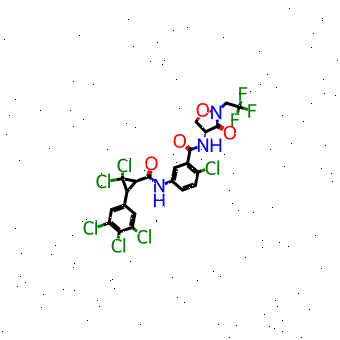 O=C(N[C@@H]1CON(CC(F)(F)F)C1=O)c1cc(NC(=O)C2C(c3cc(Cl)c(Cl)c(Cl)c3)C2(Cl)Cl)ccc1Cl